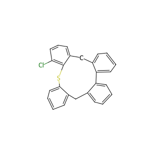 Clc1cccc2c1Sc1ccccc1Cc1ccccc1-c1ccccc1C2